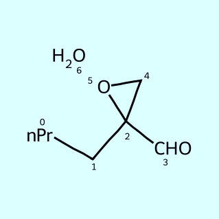 CCCCC1(C=O)CO1.O